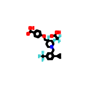 O=C(O)C(F)(F)F.O=C(O)c1ccc(OCC2(F)CCN(Cc3cc(C(F)(F)F)ccc3C3CC3)CC2)cc1